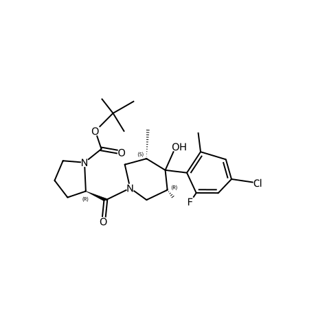 Cc1cc(Cl)cc(F)c1C1(O)[C@H](C)CN(C(=O)[C@H]2CCCN2C(=O)OC(C)(C)C)C[C@@H]1C